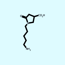 NCCCCCN1CC(C(=O)O)CC1=O